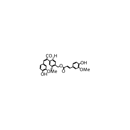 COc1cc(/C=C/C(=O)OCc2ccc(/C(=C\c3ccc(O)c(OC)c3)C(=O)O)cc2F)ccc1O